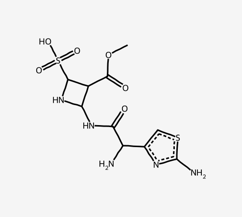 COC(=O)C1C(NC(=O)C(N)c2csc(N)n2)NC1S(=O)(=O)O